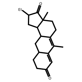 CCC1CC2C3CC4CCC(=O)C=C4C(C)=C3CCC2(C)C1=O